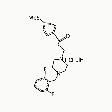 CSc1ccc(C(=O)CCN2CCN(Cc3c(F)cccc3F)CC2)cc1.Cl.Cl